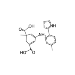 CC1(C(=O)O)C=C(N)C=C(C(=O)O)C1.Cc1ccc(-c2ccc[nH]2)cc1